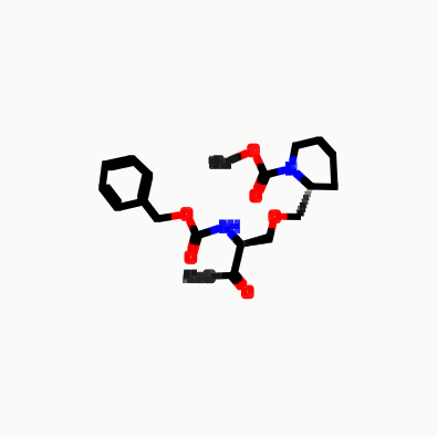 COC(=O)[C@H](COC[C@H]1CCCCN1C(=O)OC(C)(C)C)NC(=O)OCc1ccccc1